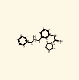 N=C(Nc1cccc(CNCc2ccccc2)c1)N1CCCC1